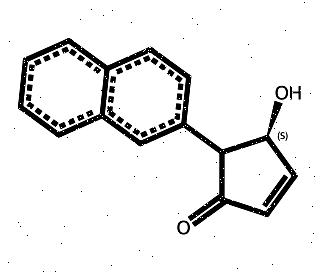 O=C1C=C[C@H](O)C1c1ccc2ccccc2c1